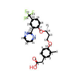 Cc1cc(CC(=O)O)ccc1OCC[C@@H](C)Oc1ccc(C(F)(F)F)cc1-c1ncccn1